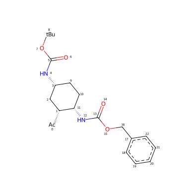 CC(=O)[C@@H]1C[C@H](NC(=O)OC(C)(C)C)CC[C@@H]1NC(=O)OCc1ccccc1